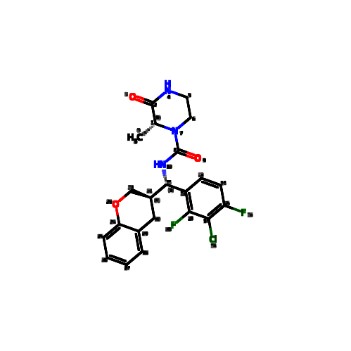 C[C@@H]1C(=O)NCCN1C(=O)N[C@H](c1ccc(F)c(Cl)c1F)[C@@H]1COc2ccccc2C1